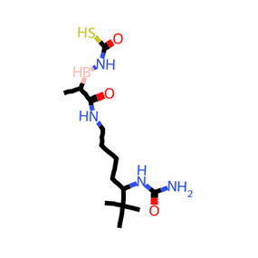 CC(BNC(=O)S)C(=O)NCCCCC(NC(N)=O)C(C)(C)C